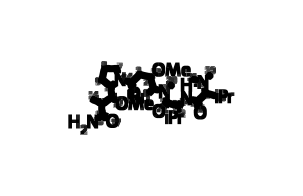 CCC(C)C(C(CC(=O)N1CCCC1C(OC)C(C)C(N)=O)OC)N(C)C(=O)[C@@H](NC(=O)C(C(C)C)N(C)C)C(C)C